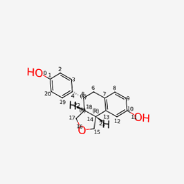 Oc1ccc([C@@H]2Cc3ccc(O)cc3[C@@H]3COC[C@H]23)cc1